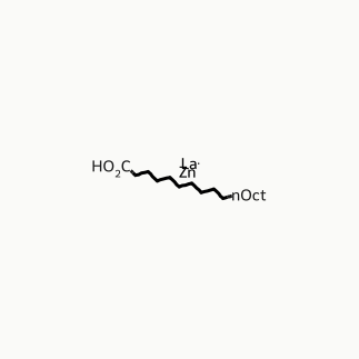 CCCCCCCCCCCCCCCCCC(=O)O.[La].[Zn]